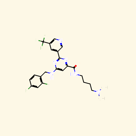 CN(C)CCCCNC(=O)c1cc(NCc2ccc(F)cc2F)nc(-c2cncc(C(F)(F)F)c2)n1